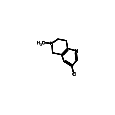 CN1CCc2ncc(Cl)cc2C1